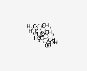 CC1CCC2(C)CCC3(C)C(=CC(=O)C4C5(C)CCC(=O)C(C)(C(=O)O)C5CCC43C)C2C1C